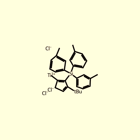 Cc1cccc([Si](C2=[C]([Ti+3])CC=C2C(C)(C)C)(c2cccc(C)c2)c2cccc(C)c2)c1.[Cl-].[Cl-].[Cl-]